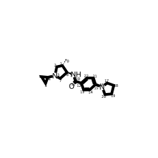 C[C@H]1CN(C2CC2)C[C@@H]1NC(=O)c1ccc(N2CCCC2)cc1